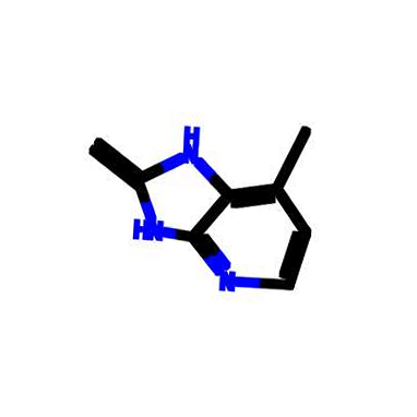 C=C1Nc2nccc(C)c2N1